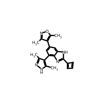 Cc1n[nH]c(C)c1-c1cc(-c2c(C)noc2C)cc2[nH]c(C3=CC=C3)nc12